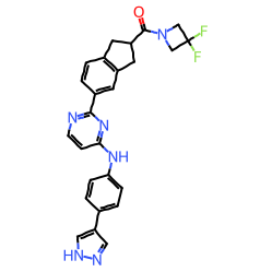 O=C(C1Cc2ccc(-c3nccc(Nc4ccc(-c5cn[nH]c5)cc4)n3)cc2C1)N1CC(F)(F)C1